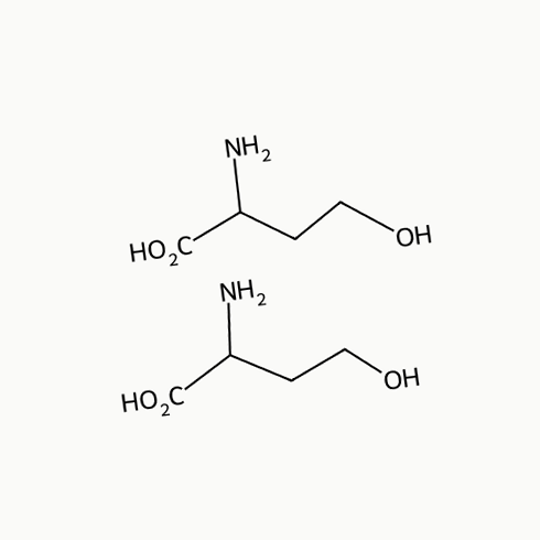 NC(CCO)C(=O)O.NC(CCO)C(=O)O